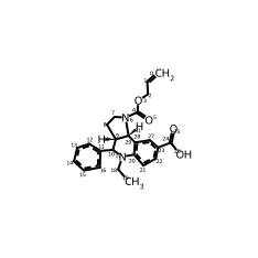 C=CCOC(=O)N1CC[C@H]2C(c3ccccc3)N(CC)c3ccc(C(=O)O)cc3[C@H]21